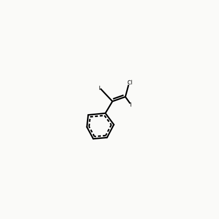 ClC(I)=C(I)c1ccccc1